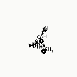 Cc1ccccc1N1CCN(c2ccc(C(=O)NCCCc3ccncc3)cc2NC(=O)c2coc(C3CC3)n2)CC1